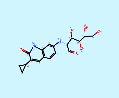 O=C[C@H](Nc1ccc2cc(C3CC3)c(=O)[nH]c2c1)[C@@H](O)[C@H](O)[C@H](O)CO